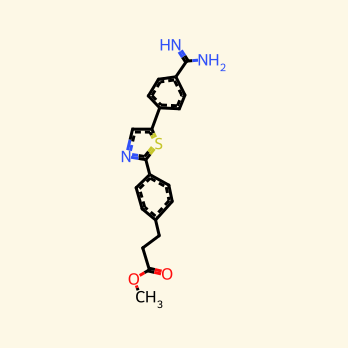 COC(=O)CCc1ccc(-c2ncc(-c3ccc(C(=N)N)cc3)s2)cc1